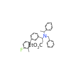 CCOC(=O)CC(c1cccc(-c2ccc(F)c(C)c2)c1)N(Cc1ccccc1)C(C)c1ccccc1